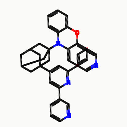 c1cncc(-c2cc(C34CC5CC(C3)CC(N3c6ccccc6Oc6ccccc63)(C5)C4)cc(-c3cccnc3)n2)c1